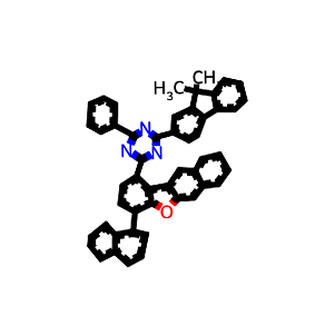 CC1(C)c2ccccc2-c2ccc(-c3nc(-c4ccccc4)nc(-c4ccc(-c5cccc6ccccc56)c5oc6cc7ccccc7cc6c45)n3)cc21